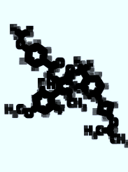 COc1cc(F)c(-c2c(NC(=O)c3ccc(OC(F)F)cc3)c(=O)n(-c3nc(N4CC(OC(C)C)C4)ccc3C(F)(F)F)n2C)c(F)c1